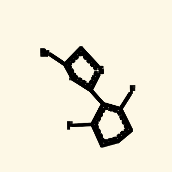 Fc1cccc(F)c1-c1[c]c(Br)cs1